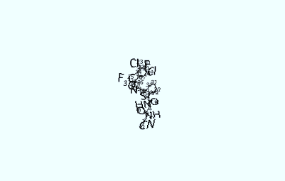 N#CCNC(=O)CNC(=O)c1sc(C2=NOC(c3cc(Cl)c(F)c(Cl)c3)(C(F)(F)F)C2)c2c1CCCC2